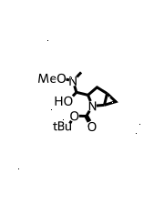 CON(C)C(O)C1CC2CC2N1C(=O)OC(C)(C)C